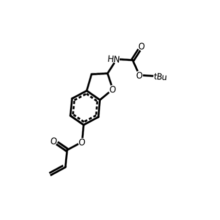 C=CC(=O)Oc1ccc2c(c1)OC(NC(=O)OC(C)(C)C)C2